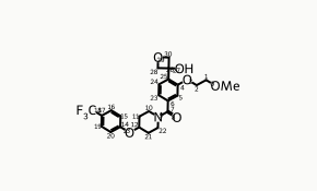 COCCOc1cc(C(=O)N2CCC(Oc3ccc(C(F)(F)F)cc3)CC2)ccc1C1(O)COC1